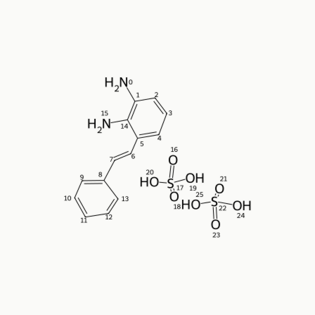 Nc1cccc(C=Cc2ccccc2)c1N.O=S(=O)(O)O.O=S(=O)(O)O